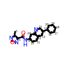 Cc1nonc1C(=O)Nc1ccc2cc(-c3ccccc3)cnc2c1